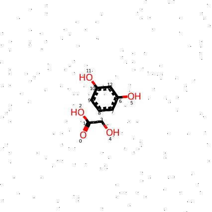 O=C(O)CO.Oc1cccc(O)c1